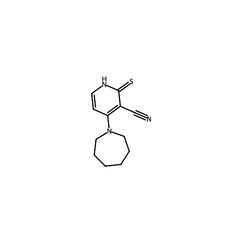 N#Cc1c(N2CCCCCC2)cc[nH]c1=S